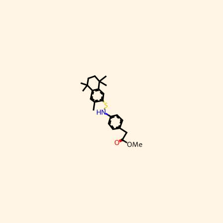 COC(=O)Cc1ccc(NSc2cc3c(cc2C)C(C)(C)CCC3(C)C)cc1